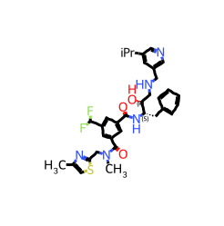 Cc1csc(CN(C)C(=O)c2cc(C(=O)N[C@@H](Cc3ccccc3)[C@H](O)CNCc3cncc(C(C)C)c3)cc(C(F)F)c2)n1